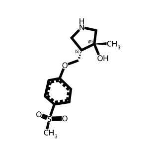 C[C@]1(O)CNC[C@H]1COc1ccc(S(C)(=O)=O)cc1